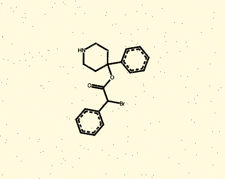 O=C(OC1(c2ccccc2)CCNCC1)C(Br)c1ccccc1